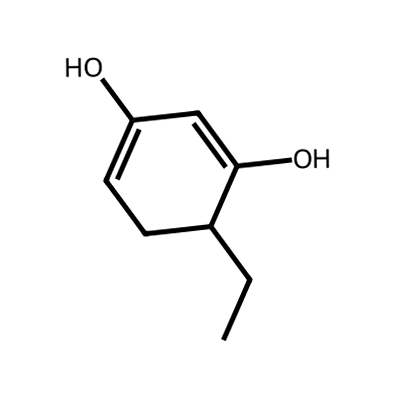 CCC1CC=C(O)C=C1O